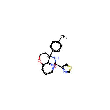 Cc1ccc([C@@]2(NC(=O)c3cscn3)CCOc3cccnc32)cc1